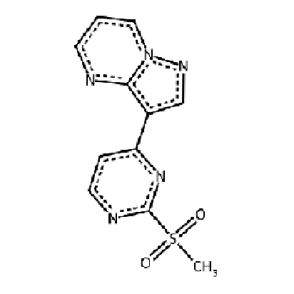 CS(=O)(=O)c1nccc(-c2cnn3cccnc23)n1